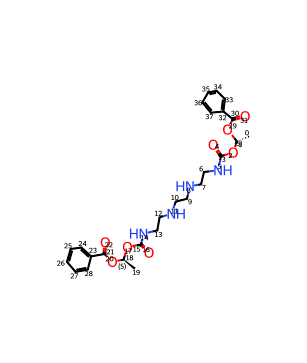 C[C@H](OC(=O)NCCNCCNCCNC(=O)O[C@@H](C)OC(=O)c1ccccc1)OC(=O)c1ccccc1